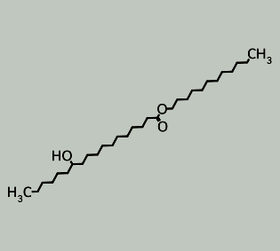 CCCCCCCCCCCCOC(=O)CCCCCCCCCCC(O)CCCCCC